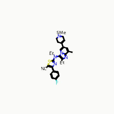 CCc1nc2c(C)cc(C3=CCN(SC)CC3)cn2c1N(CC)c1nc(-c2ccc(F)cc2)c(C#N)s1